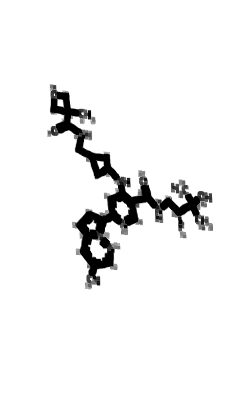 CC1(C(=O)NCC2CC(Nc3cc(-c4ccc5cc(C#N)cnn45)ncc3C(=O)NC[C@@H](F)C(C)(C)O)C2)COC1